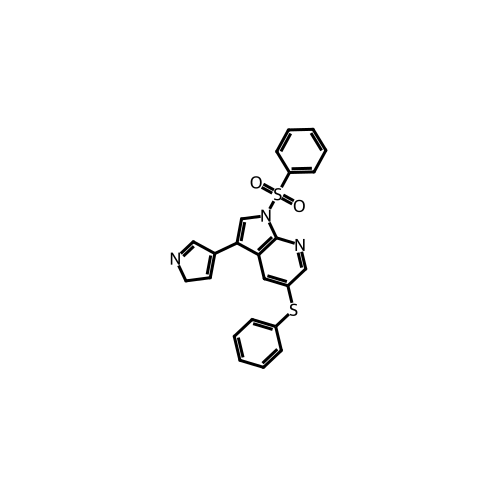 O=S(=O)(c1ccccc1)n1cc(C2=CCN=C2)c2cc(Sc3ccccc3)cnc21